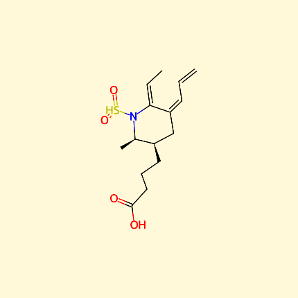 C=C/C=C1/C[C@@H](CCCC(=O)O)[C@@H](C)N([SH](=O)=O)/C1=C/C